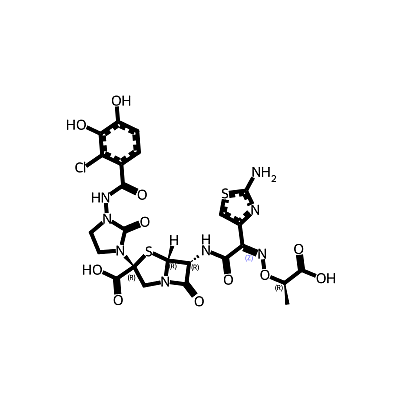 C[C@@H](O/N=C(\C(=O)N[C@@H]1C(=O)N2C[C@@](C(=O)O)(N3CCN(NC(=O)c4ccc(O)c(O)c4Cl)C3=O)S[C@H]12)c1csc(N)n1)C(=O)O